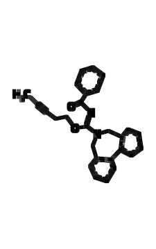 CC#CCCOC(=NC(=O)c1ccccc1)N1Cc2ccccc2-c2ccccc2C1